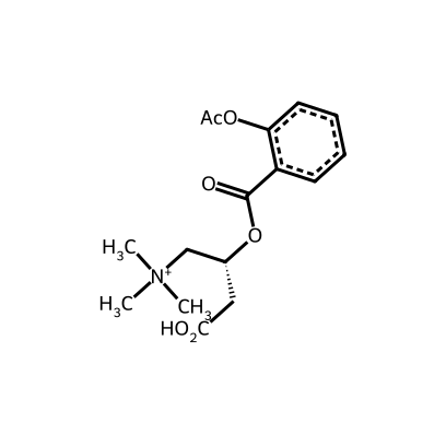 CC(=O)Oc1ccccc1C(=O)O[C@H](CC(=O)O)C[N+](C)(C)C